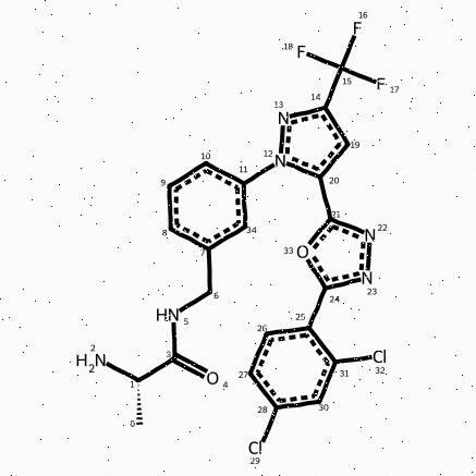 C[C@H](N)C(=O)NCc1cccc(-n2nc(C(F)(F)F)cc2-c2nnc(-c3ccc(Cl)cc3Cl)o2)c1